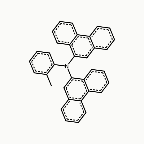 Cc1ccccc1N(c1cc2ccccc2c2ccccc12)c1cc2ccccc2c2ccccc12